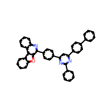 c1ccc(-c2ccc(-c3cc(-c4ccc(-c5nc6ccccc6c6c5oc5ccccc56)cc4)nc(-c4ccccc4)n3)cc2)cc1